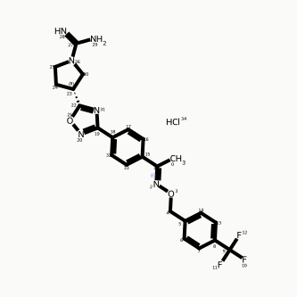 C/C(=N\OCc1ccc(C(F)(F)F)cc1)c1ccc(-c2noc([C@@H]3CCN(C(=N)N)C3)n2)cc1.Cl